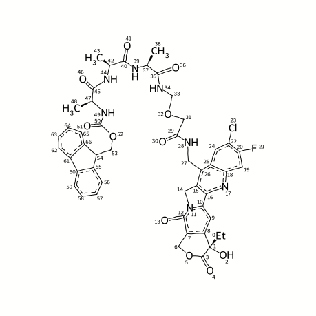 CC[C@@]1(O)C(=O)OCc2c1cc1n(c2=O)Cc2c-1nc1cc(F)c(Cl)cc1c2CNC(=O)COCNC(=O)[C@H](C)NC(=O)[C@H](C)NC(=O)[C@H](C)NC(=O)OCC1c2ccccc2-c2ccccc21